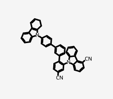 N#Cc1ccc(-c2cccc(-c3ccc(-n4c5c(c6ccccc64)C=CCC5)cc3)c2)c(-n2c3ccccc3c3c(C#N)cccc32)c1